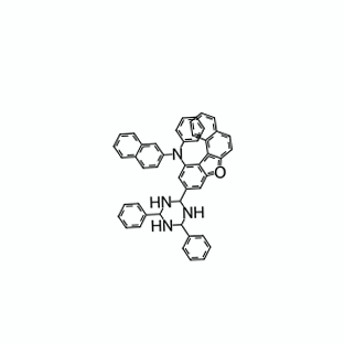 c1ccc(C2NC(c3ccccc3)NC(c3cc(N(c4ccccc4)c4ccc5ccccc5c4)c4c(c3)oc3ccc5ccccc5c34)N2)cc1